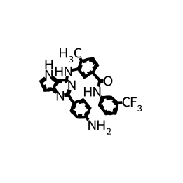 Cc1ccc(C(=O)Nc2cccc(C(F)(F)F)c2)cc1Nc1nc(-c2ccc(N)cc2)nc2cc[nH]c12